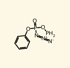 [N-]=[N+]=NP(=O)(OP)Oc1ccccc1